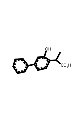 CC(C(=O)O)c1ccc(-c2ccccc2)cc1O